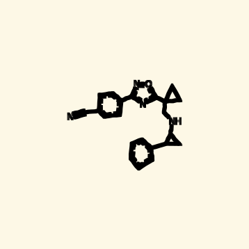 N#Cc1ccc(-c2noc(C3(CNC4CC4c4ccccc4)CC3)n2)cc1